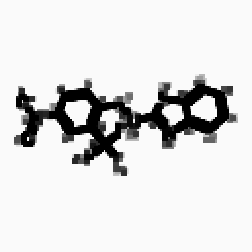 O=[N+]([O-])c1ccc(SOc2nc3ccccc3s2)c(C(F)(F)F)c1